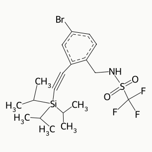 CC(C)[Si](C#Cc1cc(Br)ccc1CNS(=O)(=O)C(F)(F)F)(C(C)C)C(C)C